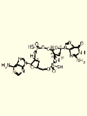 Nc1nc2c(ncn2[C@@H]2O[C@@H]3CO[P@@](=O)(S)O[C@@H]4CC(CO[P@](=O)(S)O[C@H]3[C@H]2F)O[C@H]4n2cnc3c(N)ncnc32)c(=O)[nH]1